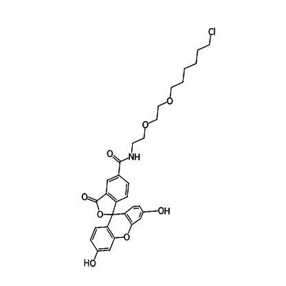 O=C(NCCOCCOCCCCCCCl)c1ccc2c(c1)C(=O)OC21c2ccc(O)cc2Oc2cc(O)ccc21